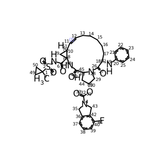 CC1(S(=O)(=O)NC(=O)[C@@]23C[C@H]2/C=C\CCCCC[C@H](Nc2ccccc2)C(=O)N2C[C@H](OC(=O)N4Cc5cccc(F)c5C4)C[C@H]2C(=O)N3)CC1